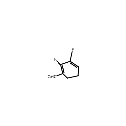 O=CC1=C(F)C(F)=CCC1